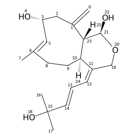 C=C1C[C@@H](O)/C=C(\C)CC[C@@H]2/C(=C\C=C\C(C)(C)O)CO[C@H](O)[C@@H]12